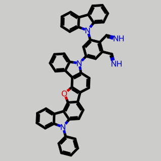 N=Cc1cc(-n2c3ccccc3c3c4oc5c(ccc6c5c5ccccc5n6-c5ccccc5)c4ccc32)cc(-n2c3ccccc3c3ccccc32)c1C=N